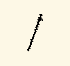 CCCCCCCCCCCCCCCCCCCCCCCCCCC(=O)CCCC